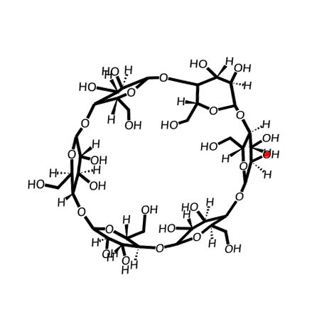 OC[C@H]1OC2OC3[C@@H](CO)OC(O[C@H]4[C@H](O)[C@@H](O)C(OC5[C@@H](CO)OC(O[C@H]6[C@H](O)[C@@H](O)C(O[C@H]7[C@H](O)[C@@H](O)C(OC1[C@H](O)[C@H]2O)O[C@@H]7CO)O[C@@H]6CO)[C@H](O)[C@H]5O)O[C@@H]4CO)[C@H](O)[C@H]3O